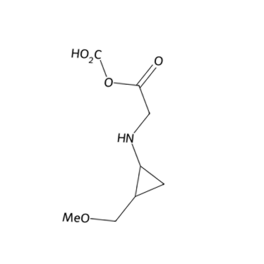 COCC1CC1NCC(=O)OC(=O)O